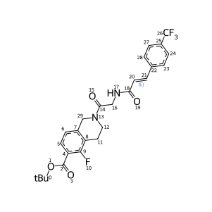 CC(C)(C)OC(=O)c1ccc2c(c1F)CCN(C(=O)CNC(=O)/C=C/c1ccc(C(F)(F)F)cc1)C2